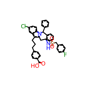 O=C(O)c1ccc(CCCc2c(CCNS(=O)(=O)Cc3ccc(F)cc3)n(C(c3ccccc3)c3ccccc3)c3ccc(Cl)cc23)cc1